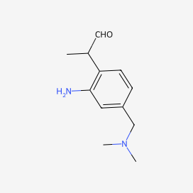 CC(C=O)c1ccc(CN(C)C)cc1N